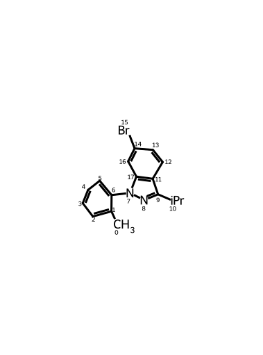 Cc1ccccc1-n1nc(C(C)C)c2ccc(Br)cc21